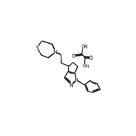 O=C(O)C(=O)O.c1ccc(-n2ncc3c2CCC3CCN2CCSCC2)cc1